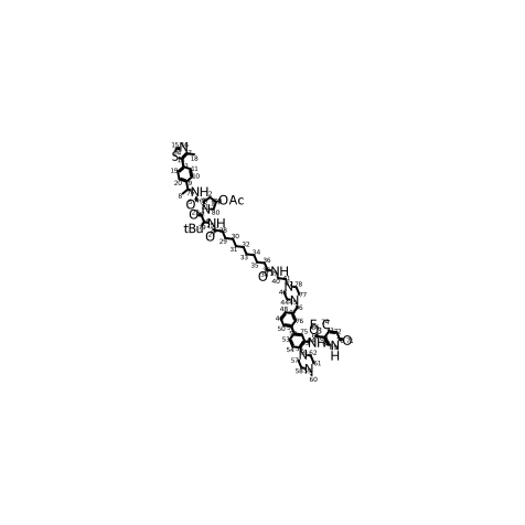 CC(=O)O[C@@H]1C[C@@H](C(=O)NC(C)c2ccc(-c3scnc3C)cc2)N(C(=O)C(NC(=O)CCCCCCCCCC(=O)NCCN2CCN(Cc3cccc(-c4ccc(N5CCN(C)CC5)c(NC(=O)c5c[nH]c(=O)cc5C(F)(F)F)c4)c3)CC2)C(C)(C)C)C1